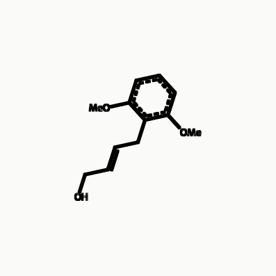 COc1cccc(OC)c1C/C=C/CO